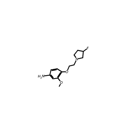 COc1cc(N)ccc1OCCN1CCC(F)C1